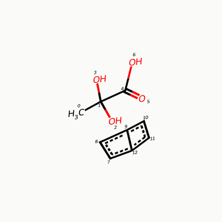 CC(O)(O)C(=O)O.c1cc2ccc1-2